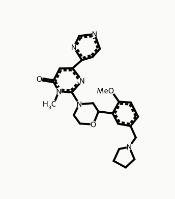 COc1ccc(CN2CCCC2)cc1C1CN(c2nc(-c3ccncn3)cc(=O)n2C)CCO1